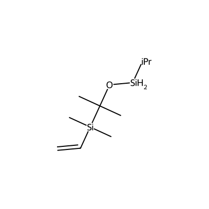 C=C[Si](C)(C)C(C)(C)O[SiH2]C(C)C